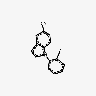 N#Cc1ccc2c(ccn2-c2ccccc2F)c1